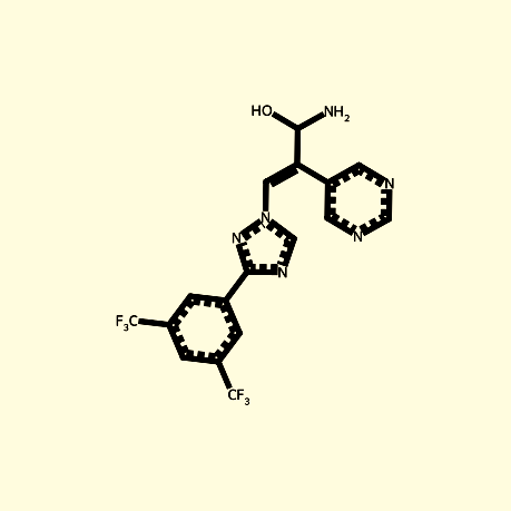 NC(O)/C(=C/n1cnc(-c2cc(C(F)(F)F)cc(C(F)(F)F)c2)n1)c1cncnc1